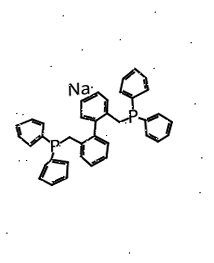 [Na].c1ccc(P(Cc2ccccc2-c2ccccc2CP(c2ccccc2)c2ccccc2)c2ccccc2)cc1